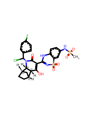 CS(=O)(=O)Nc1ccc2c(c1)S(=O)(=O)N=C(C1=C(O)[C@@H]3[C@@H]4CC[C@@H](C4)[C@@H]3N(C(Cl)c3ccc(F)cc3)C1=O)N2